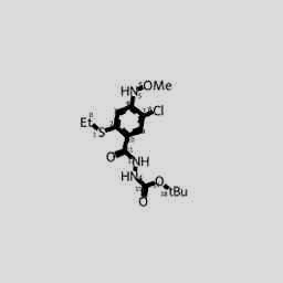 CCSc1cc(NOC)c(Cl)cc1C(=O)NNC(=O)OC(C)(C)C